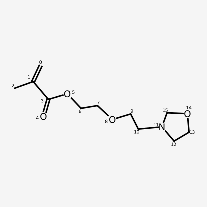 C=C(C)C(=O)OCCOCCN1CCOC1